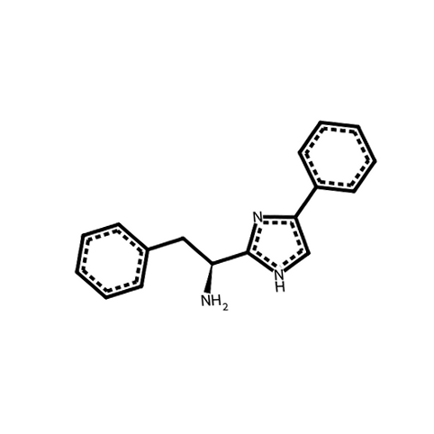 N[C@@H](Cc1ccccc1)c1nc(-c2ccccc2)c[nH]1